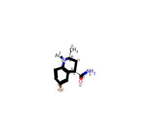 CC(=O)N1c2ccc(Br)cc2[C@@H](C(N)=O)C[C@H]1C